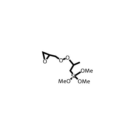 CO[Si](CC(C)OOCC1CO1)(OC)OC